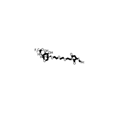 CC(=O)CSC1CC(=O)N(CCOCCOCCOC[C@@]23CO[C@@H](O2)[C@@H](NC(=O)C(F)(F)F)[C@@H](O)[C@H]3O)C1=O